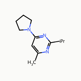 Cc1cc(N2CCCC2)nc(C(C)C)n1